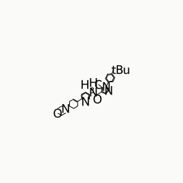 Cc1c(C(=O)Nc2ccc(C3=CCC(N4CCOCC4)CC3)nc2)cnn1-c1ccc(C(C)(C)C)cc1